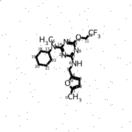 Cc1ccc(CNc2nc(OCC(F)(F)F)nc(N(C)C3CCCCC3)n2)o1